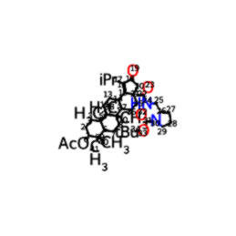 CC(=O)O[C@H]1CC[C@@]2(C)C(CC[C@]3(C)C2CCC2C4=C(C(C)C)C(=O)C[C@]4(C(=O)NC[C@H]4CCCN4C(=O)OC(C)(C)C)CC[C@]23C)C1(C)C